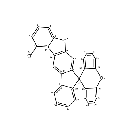 Clc1cccc2oc3cc4c(cc3c12)-c1ccccc1C41c2ccccc2Oc2ccccc21